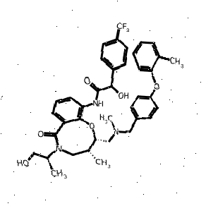 Cc1ccccc1Oc1ccc(CN(C)C[C@H]2Oc3c(NC(=O)C(O)c4ccc(C(F)(F)F)cc4)cccc3C(=O)N([C@@H](C)CO)C[C@H]2C)cc1